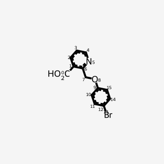 O=C(O)c1cccnc1COc1ccc(Br)cc1